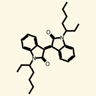 CCCCC(CC)N1C(=O)/C(=C2/C(=O)N(C(CC)CCCC)c3ccccc32)c2ccccc21